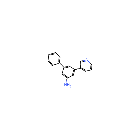 Nc1cc(-c2ccccc2)cc(-c2cccnc2)c1